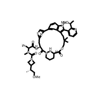 CCn1c(-c2cccnc2[C@H](C)OC)c2c3cc(ccc31)-c1csc(n1)C[C@H](NC(=O)C(C(C)C)N(C)C(=O)N1CC([C@@H](C)COC)C1)C(=O)N1CCC[C@H](N1)C(=O)OCC(C)(C)C2